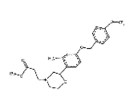 Cc1cc(OCc2ccc(OC(F)(F)F)cc2)ccc1C1CN(CCC(=O)OC(C)(C)C)CCO1